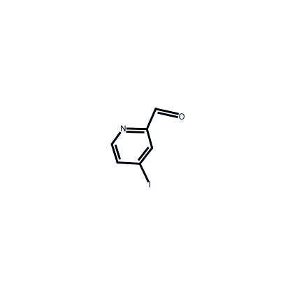 O=Cc1cc(I)ccn1